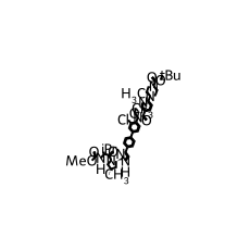 COC(=O)NC(C(=O)N1C[C@@H](C)C[C@H]1c1nc(-c2ccc(-c3ccc(N(OC(F)(F)F)C(=O)c4ccc(N5CCN(C(=O)OC(C)(C)C)CC5C)nc4)c(Cl)c3)cc2)c[nH]1)C(C)C